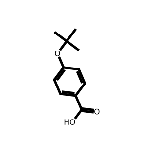 CC(C)(C)Oc1ccc(C(=O)O)cc1